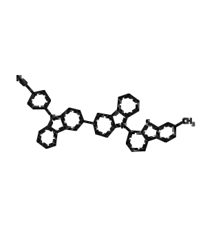 Cc1ccc2c(c1)sc1c(-n3c4ccccc4c4cc(-c5ccc6c(c5)c5ccccc5n6-c5ccc(C#N)cc5)ccc43)cccc12